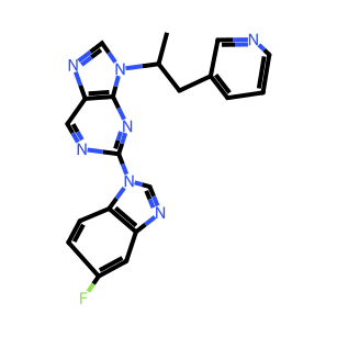 CC(Cc1cccnc1)n1cnc2cnc(-n3cnc4cc(F)ccc43)nc21